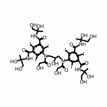 CC(O)(CO)NC(=O)c1c(I)c(C(=O)NC(C)(O)CO)c(I)c(N(CC(O)CN(C(=O)CO)c2c(I)c(C(=O)NC(C)(O)CO)c(I)c(C(=O)NC(C)(O)CO)c2I)C(=O)CO)c1I